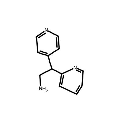 NCC(c1ccncc1)c1ccccn1